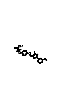 COc1cccc(-c2cc(COc3ccc(OC(C)(C)C(=O)O)cc3)c(C)o2)c1